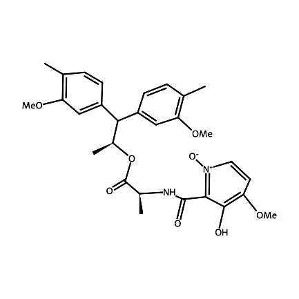 COc1cc(C(c2ccc(C)c(OC)c2)[C@H](C)OC(=O)[C@H](C)NC(=O)c2c(O)c(OC)cc[n+]2[O-])ccc1C